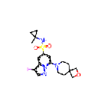 CC1(NS(=O)(=O)c2cc(N3CCC4(CC3)COC4)n3ncc(I)c3c2)CC1